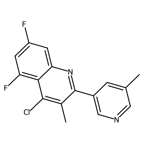 Cc1cncc(-c2nc3cc(F)cc(F)c3c(Cl)c2C)c1